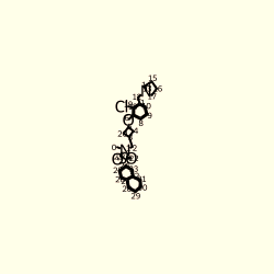 CN(CC1CC(Oc2cccc(CN3CCCC3)c2Cl)C1)S(=O)(=O)c1ccc2ccccc2c1